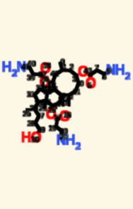 CC1C[C@H](OC(=O)CCN)CCC[C@H]2C[C@H](OC(=O)CCN)C3(C)C([C@H](C)CCCO)CC[C@H]3C2[C@H](OC(=O)CCN)C1